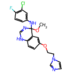 COC1(Nc2ccc(F)c(Cl)c2)N=CNc2ccc(OCCn3ccnc3)cc21